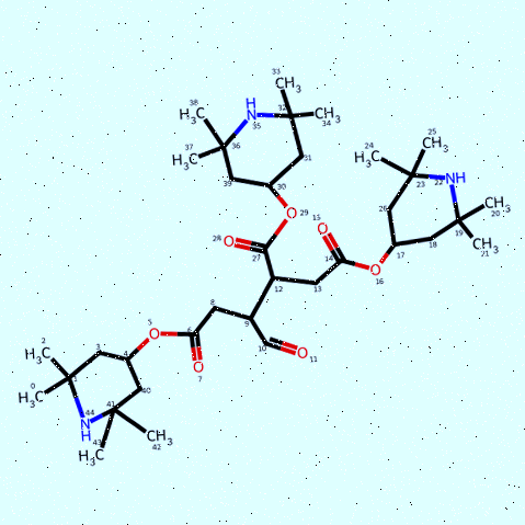 CC1(C)CC(OC(=O)CC(C=O)C(CC(=O)OC2CC(C)(C)NC(C)(C)C2)C(=O)OC2CC(C)(C)NC(C)(C)C2)CC(C)(C)N1